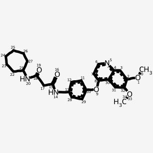 COc1cc2nccc(Oc3ccc(NC(=O)CC(=O)NC4CCCCCC4)cc3)c2cc1OC